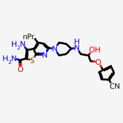 CCCc1cc(N2CCC(NCC(O)COc3ccc(C#N)cc3)CC2)nc2sc(C(N)=O)c(N)c12